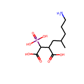 CC(CCCN)CC(C(=O)O)C(C(=O)O)P(=O)(O)O